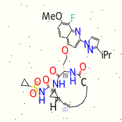 COc1ccc2c(OCC[C@@H]3NC(=O)CCCCC/C=C\[C@@H]4C[C@@]4(C(=O)NS(=O)(=O)C4CC4)NC3=O)cc(-n3ccc(C(C)C)n3)nc2c1F